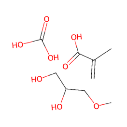 C=C(C)C(=O)O.COCC(O)CO.O=C(O)O